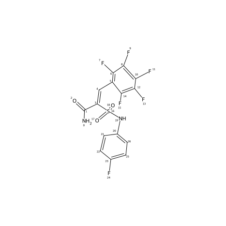 NC(=O)/C(=C/c1c(F)c(F)c(F)c(F)c1F)S(=O)(=O)Nc1ccc(F)cc1